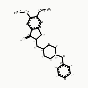 CCCOc1cc2c(cc1OCCC)C(=O)C(CC1CCN(Cc3ccccc3)CC1)C2